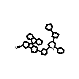 N#Cc1ccc2c(c1)-c1ccc(-c3cccc(C4=CCC(c5cccc(-c6ccccc6)c5)=CC(c5ccccc5)=N4)c3)cc1C21c2ccccc2-c2ccccc21